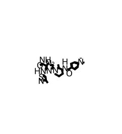 Cc1cc(Nc2nc(N3CCCC(NC(=O)c4ccc(N(C)C)cc4)C3C)cnc2C(N)=O)sn1